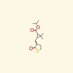 CC(C)OC(=O)C1C(C=C2CCSC2=O)C1(C)C